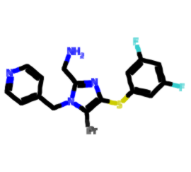 CC(C)c1c(Sc2cc(F)cc(F)c2)nc(CN)n1Cc1ccncc1